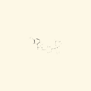 CCC(C1CCC(CN2Cc3ccc(O)c(F)c3C2=O)CC1)N1CCOCC1